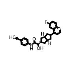 C#Cc1ccc(NC(=O)C(O)[C@H]2C[C@H]3CC(c4ccnc5ccc(F)cc45)C[C@H]3C2)cc1